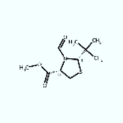 COC(=O)[C@H]1CS[C@@H](C(C)(C)C)N1C=O